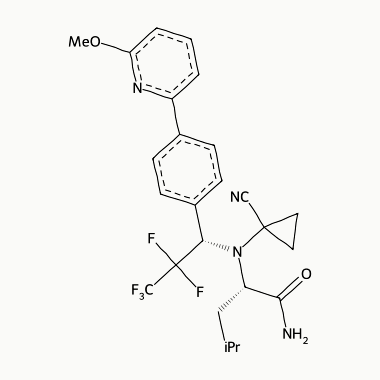 COc1cccc(-c2ccc([C@H](N([C@@H](CC(C)C)C(N)=O)C3(C#N)CC3)C(F)(F)C(F)(F)F)cc2)n1